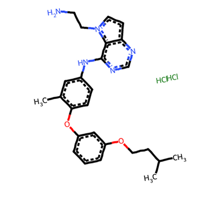 Cc1cc(Nc2ncnc3ccn(CCN)c23)ccc1Oc1cccc(OCCC(C)C)c1.Cl.Cl